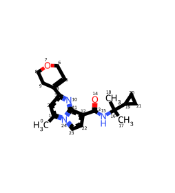 Cc1cc(C2=CCOCC2)nc2c(C(=O)NC(C)(C)C3CC3)ccn12